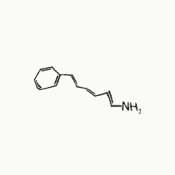 N/C=C/C=C/C=C/c1ccccc1